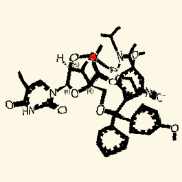 [C-]#[N+]CCOP(OC1[C@@H]2ON(C)C(=O)[C@]1(COC(c1ccccc1)(c1ccc(OC)cc1)c1ccc(OC)cc1)O[C@H]2n1cc(C)c(=O)[nH]c1=O)N(C(C)C)C(C)C